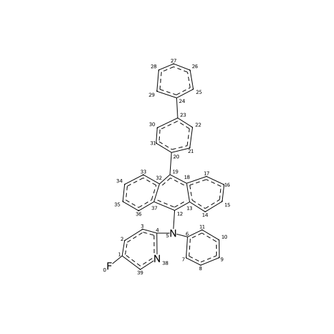 Fc1ccc(N(c2ccccc2)c2c3ccccc3c(-c3ccc(-c4ccccc4)cc3)c3ccccc23)nc1